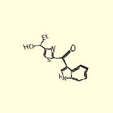 CC[C@H](O)c1csc(C(=O)c2c[nH]c3ccccc23)n1